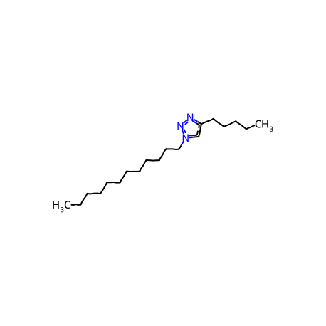 CCCCCCCCCCCCn1cc(CCCCC)nn1